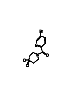 O=C(c1ccc(Br)cn1)N1CCS(=O)(=O)CC1